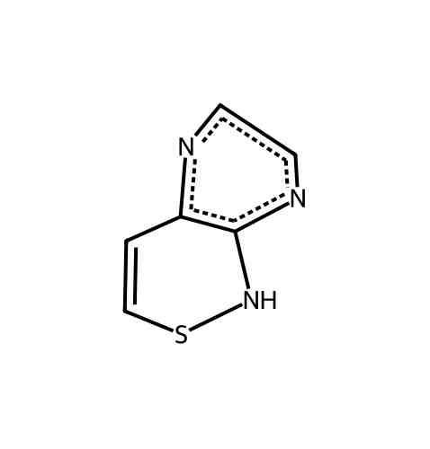 C1=Cc2nccnc2NS1